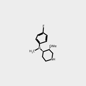 CO[C@@H]1CNCC[C@H]1N(C)c1ccc(F)cc1